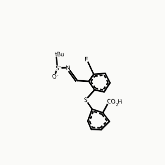 CC(C)(C)[S+]([O-])N=Cc1c(F)cccc1Sc1ccccc1C(=O)O